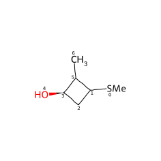 CSC1C[C@@H](O)C1C